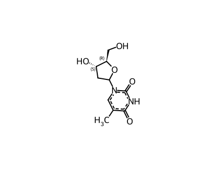 Cc1cn(C2C[C@H](O)[C@@H](CO)O2)c(=O)[nH]c1=O